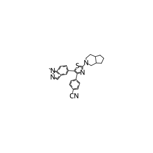 Cn1ncc2cc(-c3sc(N4CCC5CCCC5C4)nc3-c3ccc(C#N)cc3)ccc21